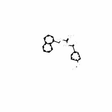 CCOc1ccc(C(=O)NC(=N)NCc2cccc3ccccc23)cc1